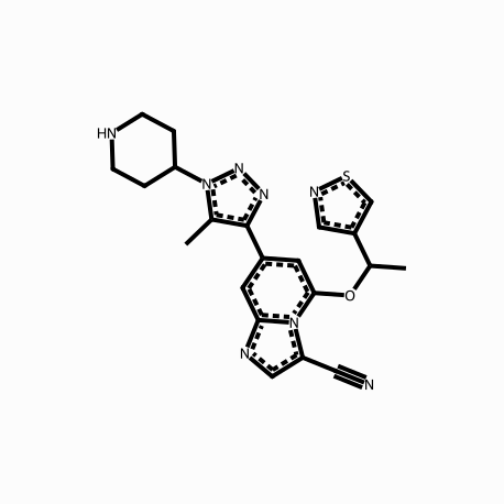 Cc1c(-c2cc(OC(C)c3cnsc3)n3c(C#N)cnc3c2)nnn1C1CCNCC1